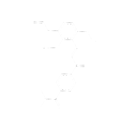 C=CCc1ccc(OCCCC)c(C=CC(=O)c2ccc(C(=O)N(C)C)cc2)c1OCCCC